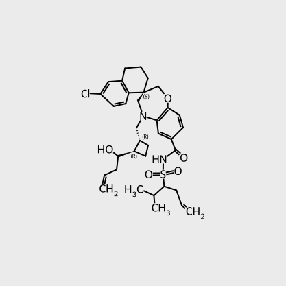 C=CCC(O)[C@@H]1CC[C@H]1CN1C[C@@]2(CCCc3cc(Cl)ccc32)COc2ccc(C(=O)NS(=O)(=O)C(CC=C)C(C)C)cc21